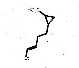 CCC=CCCC1CC1C(=O)O